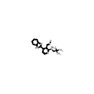 CC(C)(C)CNc1nccc(-c2nc3ccccc3[nH]2)c1C=S=O